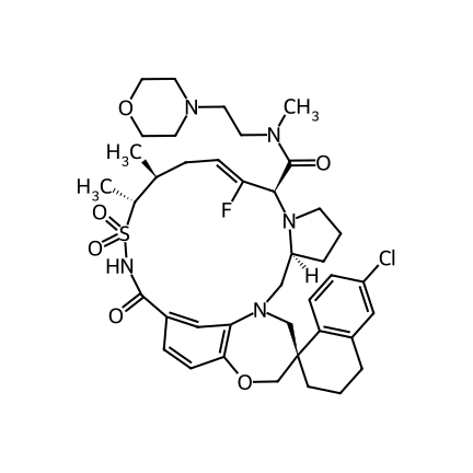 C[C@@H]1[C@@H](C)C/C=C(\F)[C@@H](C(=O)N(C)CCN2CCOCC2)N2CCC[C@H]2CN2C[C@@]3(CCCc4cc(Cl)ccc43)COc3ccc(cc32)C(=O)NS1(=O)=O